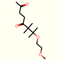 COCCOC(C)(C)C(C)(C)C(=O)CCC(C)=O